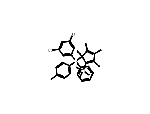 CCc1cc(CC)cc([Si](c2ccccc2)(c2ccc(C)cc2)C2(C)C(C)=C(C)C(C)=[C]2[Ti]([CH3])([CH3])[CH3])c1